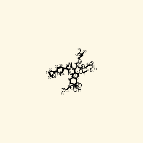 C=C(OCC)c1c(C2CCC(OCCOC)(C(=O)O)CC2)nc2c(-c3ccc(C4=NC=CC4)nc3)cnn2c1N(COCC[Si](C)(C)C)COCC[Si](C)(C)C